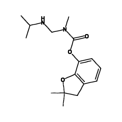 CC(C)NCN(C)C(=O)Oc1cccc2c1OC(C)(C)C2